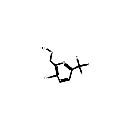 COCc1nc(C(F)(F)F)ccc1Br